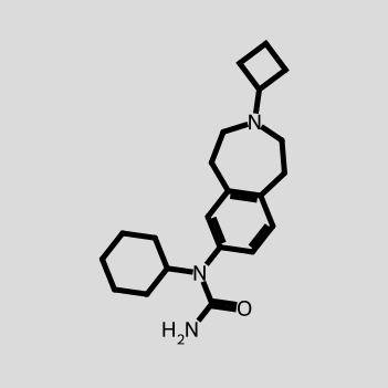 NC(=O)N(c1ccc2c(c1)CCN(C1CCC1)CC2)C1CCCCC1